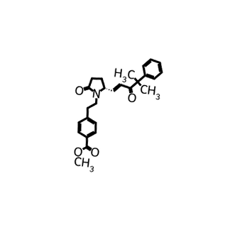 COC(=O)c1ccc(CCN2C(=O)CC[C@@H]2C=CC(=O)C(C)(C)c2ccccc2)cc1